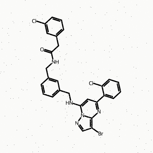 O=C(Cc1cccc(Cl)c1)NCc1cccc(CNc2cc(-c3ccccc3Cl)nc3c(Br)cnn23)c1